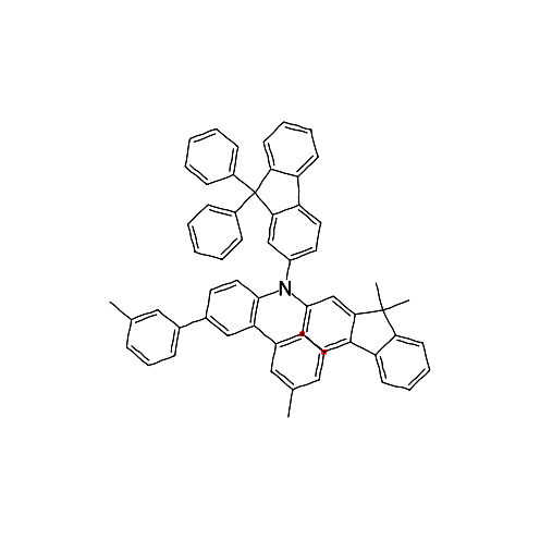 Cc1cccc(-c2ccc(N(c3ccc4c(c3)C(C)(C)c3ccccc3-4)c3ccc4c(c3)C(c3ccccc3)(c3ccccc3)c3ccccc3-4)c(-c3cccc(C)c3)c2)c1